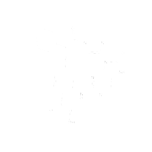 CC(C)(C)OC(=O)c1ccc(F)cc1Nc1ncc2[nH]c(=O)n(-c3cn(C(=O)OC4CCCCC4)cn3)c2n1